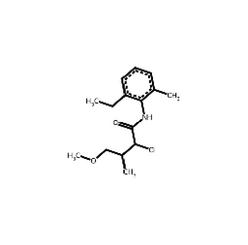 CCc1cccc(C)c1NC(=O)C(Cl)C(C)COC